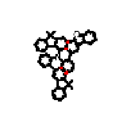 CC1(C)c2ccccc2-c2cc(-c3ccccc3N(c3ccccc3-c3ccc4oc5ccccc5c4c3)c3cccc4c3-c3ccccc3C4(C)C)ccc21